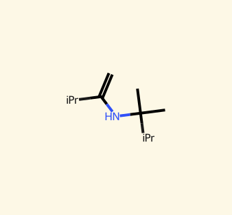 C=C(NC(C)(C)C(C)C)C(C)C